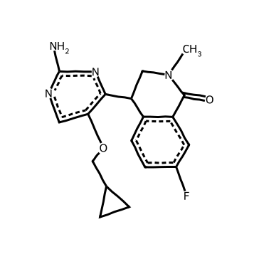 CN1CC(c2nc(N)ncc2OCC2CC2)c2ccc(F)cc2C1=O